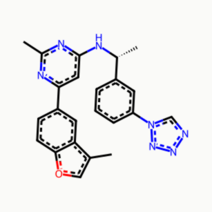 Cc1nc(N[C@H](C)c2cccc(-n3cnnn3)c2)cc(-c2ccc3occ(C)c3c2)n1